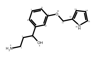 NCCC(O)c1cccc(OCc2ccc[nH]2)c1